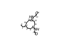 CCN1CCN(NC=O)CCN(NC=O)CC1